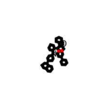 c1ccc(-c2cccc(N(c3ccc(-c4cccc5ccccc45)cc3)c3ccccc3-c3cccc4oc5ccccc5c34)c2)cc1